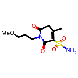 COCCCN1C(=O)CC(C)=C(S(N)(=O)=O)C1=O